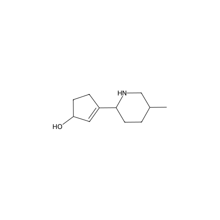 CC1CCC(C2=CC(O)CC2)NC1